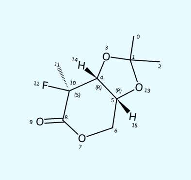 CC1(C)O[C@@H]2[C@@H](COC(=O)[C@@]2(C)F)O1